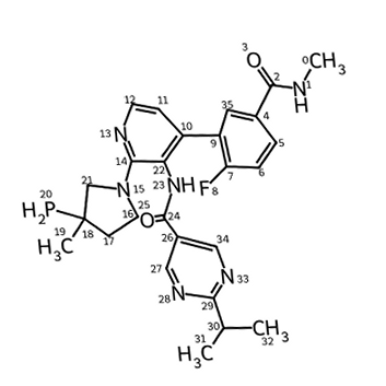 CNC(=O)c1ccc(F)c(-c2ccnc(N3CCC(C)(P)C3)c2NC(=O)c2cnc(C(C)C)nc2)c1